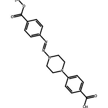 COC(=O)c1ccc(N=NN2CCN(c3ccc(C(C)=O)cc3)CC2)cc1